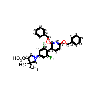 CC1(C)CN(c2cc(F)c(-c3ccc(OCc4ccccc4)nc3OCc3ccccc3)c(F)c2)CC1C(=O)O